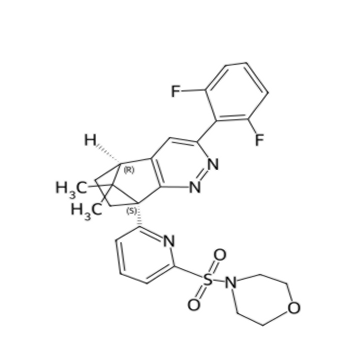 CC1(C)[C@H]2CC[C@]1(c1cccc(S(=O)(=O)N3CCOCC3)n1)c1nnc(-c3c(F)cccc3F)cc12